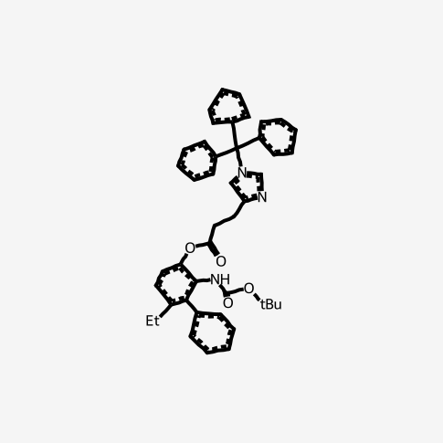 [CH2]Cc1ccc(OC(=O)CCc2cn(C(c3ccccc3)(c3ccccc3)c3ccccc3)cn2)c(NC(=O)OC(C)(C)C)c1-c1ccccc1